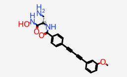 COc1cccc(C#CC#Cc2ccc(C(=O)N[C@@H](CN)C(=O)NO)cc2)c1